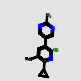 CNc1cc(-c2cnc(C(F)(F)F)nc2)cnc1C1CC1.Cl